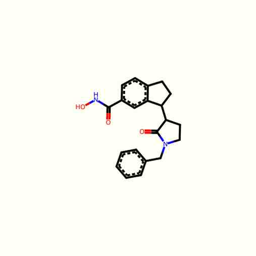 O=C(NO)c1ccc2c(c1)C(C1CCN(Cc3ccccc3)C1=O)CC2